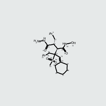 CC(C)C[C@@H](C(=O)NN)[C@@H](C(=O)NO)C(C=C1CCCCC1)(CC(C)C)S(C)(=O)=O